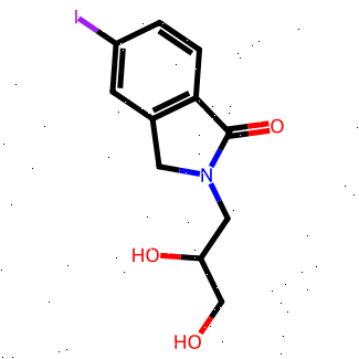 O=C1c2ccc(I)cc2CN1CC(O)CO